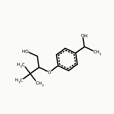 CC(O)c1ccc(OC(CO)C(C)(C)C)cc1